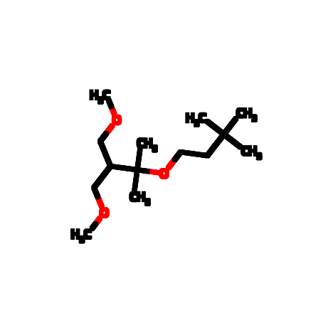 COCC(COC)C(C)(C)OCCC(C)(C)C